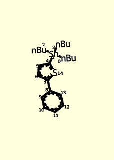 CCC[CH2][Sn]([CH2]CCC)([CH2]CCC)[c]1ccc(-c2ccccc2)s1